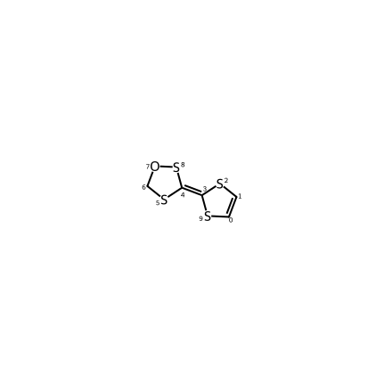 C1=CSC(=C2SCOS2)S1